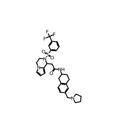 O=C(CC1c2cccn2CCN1S(=O)(=O)c1cccc(C(F)(F)F)c1)NC1CCc2cc(CN3CCCC3)ccc2C1